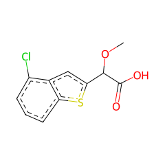 COC(C(=O)O)c1cc2c(Cl)cccc2s1